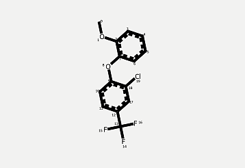 COc1ccccc1Oc1ccc(C(F)(F)F)cc1Cl